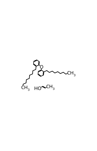 CC=CO.CCCCCCCCCc1ccccc1Oc1ccccc1CCCCCCCCC